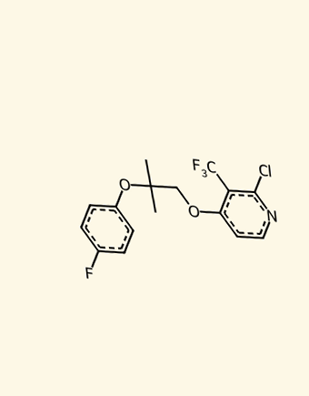 CC(C)(COc1ccnc(Cl)c1C(F)(F)F)Oc1ccc(F)cc1